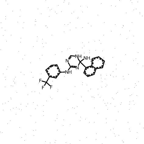 NC1(c2cccc3ccccc23)N=C(Nc2cccc(C(F)(F)F)c2)N=CN1